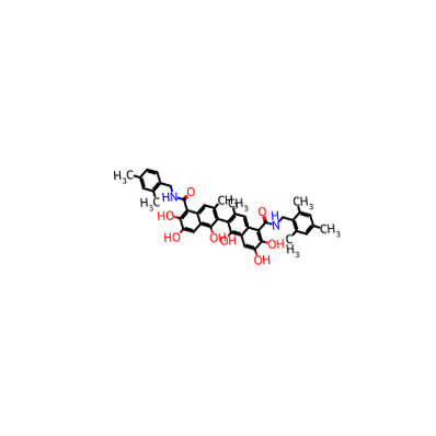 Cc1ccc(CNC(=O)c2c(O)c(O)cc3c(O)c(-c4c(C)cc5c(C(=O)NCc6c(C)cc(C)cc6C)c(O)c(O)cc5c4O)c(C)cc23)c(C)c1